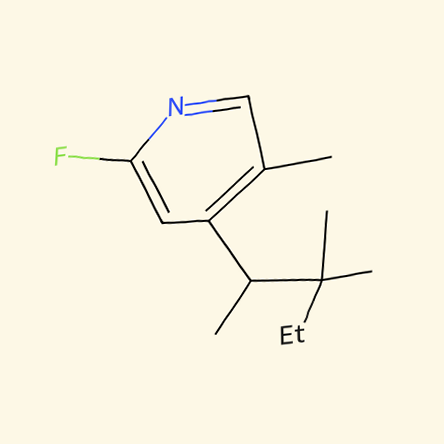 CCC(C)(C)C(C)c1cc(F)ncc1C